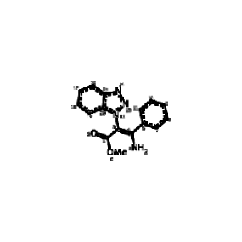 COC(=O)/C(=C(\N)c1ccccc1)n1nnc2ccccc21